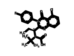 CC[C@@H](c1nc2cccc(Cl)c2c(=O)n1-c1ccc(F)cc1)N(C(=O)O)C(C)(C)C